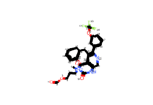 C[N+]1(CCCOC=O)C(=O)Nc2cnc(-c3cccc(OC(F)(F)F)c3)c(Cc3ccccc3)c2C1=O